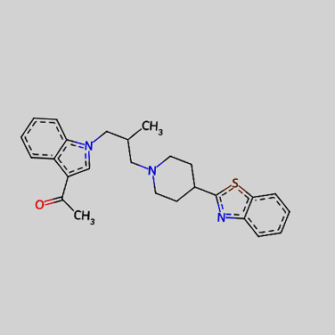 CC(=O)c1cn(CC(C)CN2CCC(c3nc4ccccc4s3)CC2)c2ccccc12